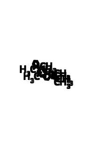 CNC(CC(C)(C)CC1CCC(C(CC(C)(C)C)NC)CC1)c1ccccc1C